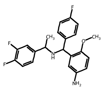 COc1ccc(N)cc1C(NC(C)c1ccc(F)c(F)c1)c1ccc(F)cc1